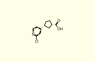 O=C(O)[C@H]1CC[C@@H](c2ccnc(Cl)c2)C1